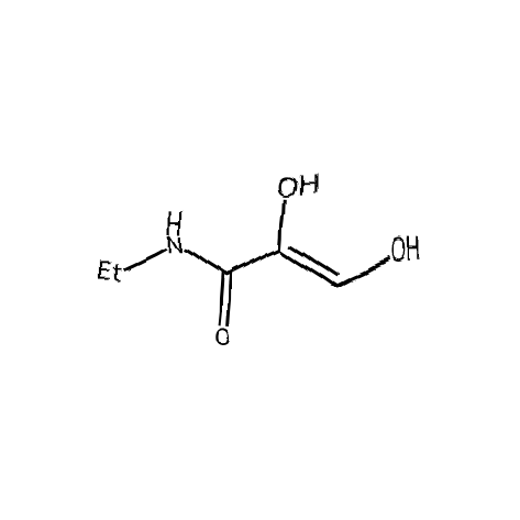 CCNC(=O)C(O)=CO